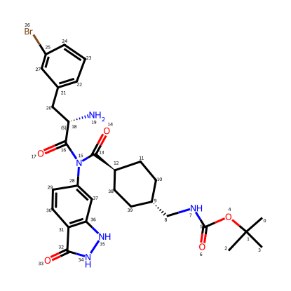 CC(C)(C)OC(=O)NC[C@H]1CC[C@H](C(=O)N(C(=O)[C@@H](N)Cc2cccc(Br)c2)c2ccc3c(=O)[nH][nH]c3c2)CC1